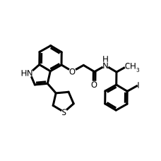 CC(NC(=O)COc1cccc2[nH]cc(C3CCSC3)c12)c1ccccc1I